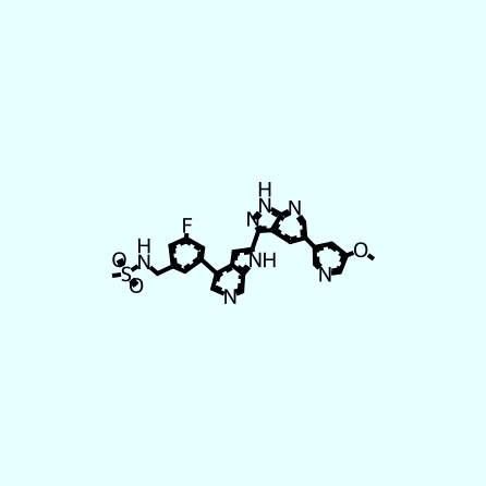 COc1cncc(-c2cnc3[nH]nc(-c4cc5c(-c6cc(F)cc(CNS(C)(=O)=O)c6)cncc5[nH]4)c3c2)c1